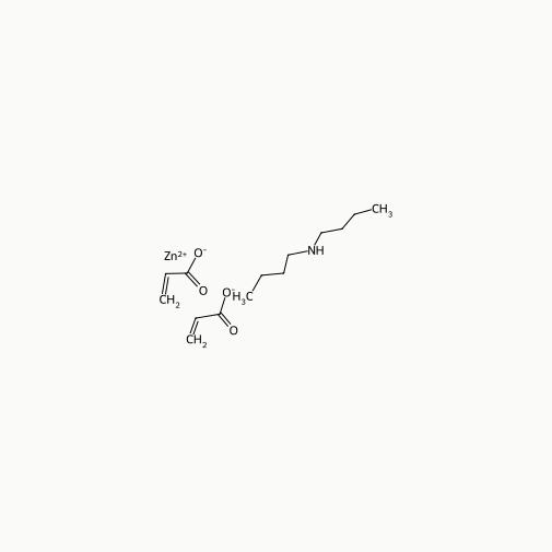 C=CC(=O)[O-].C=CC(=O)[O-].CCCCNCCCC.[Zn+2]